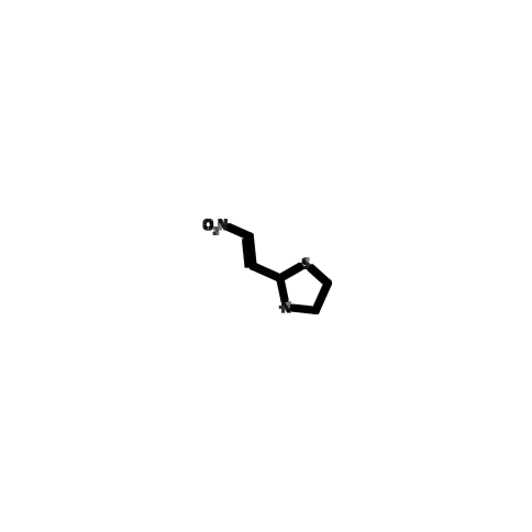 O=[N+]([O-])C=CC1[N]CCS1